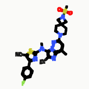 CCc1nc2c(C)cc(N3CCC4(CC3)CN(S(C)(=O)=O)C4)nn2c1N(C)c1nc(-c2ccc(F)cc2)c(C#N)s1